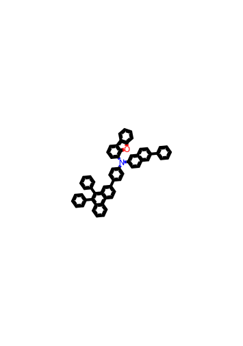 c1ccc(-c2ccc3cc(N(c4ccc(-c5ccc6c(c5)c(-c5ccccc5)c(-c5ccccc5)c5ccccc56)cc4)c4cccc5c4oc4ccccc45)ccc3c2)cc1